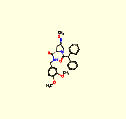 CO/N=C1\C[C@@H](C(=O)NCc2ccc(OC)c(OC)c2)N(C(=O)C(c2ccccc2)c2ccccc2)C1